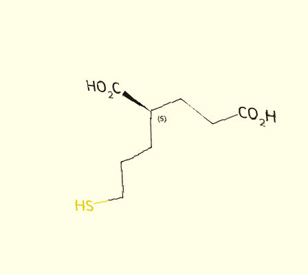 O=C(O)CC[C@@H](CCCS)C(=O)O